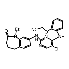 CCN1C(=O)CCCc2ccc(Nc3ncc(Cl)c(Nc4ccccc4OCC#N)n3)cc21